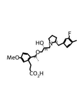 COc1ccc([C@@H](C)OC[C@H](O)CN2CCC[C@H]2Cc2ccc(C)c(F)c2)c(CCC(=O)O)c1